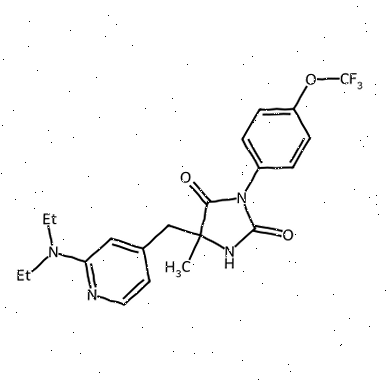 CCN(CC)c1cc(CC2(C)NC(=O)N(c3ccc(OC(F)(F)F)cc3)C2=O)ccn1